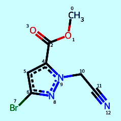 COC(=O)c1cc(Br)nn1CC#N